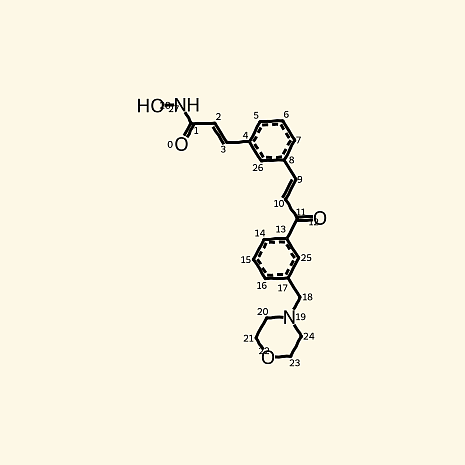 O=C(C=Cc1cccc(C=CC(=O)c2cccc(CN3CCOCC3)c2)c1)NO